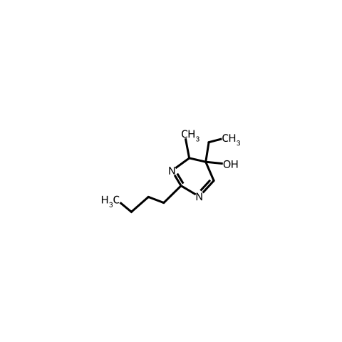 CCCCC1=NC(C)C(O)(CC)C=N1